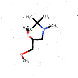 COCC(CN(C)C(C)(C)C)OC